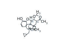 CC[C@]12C[C@H](C(C)=O)C(OC)[C@@H]3Oc4c(O)ccc5c4[C@@]31CCN(CC1CC1)[C@@H]2C5